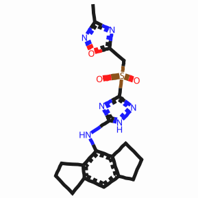 Cc1noc(CS(=O)(=O)c2n[nH]c(Nc3c4c(cc5c3CCC5)CCC4)n2)n1